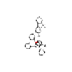 CC1(C)c2ccccc2-c2ccc(P(=O)(c3ccc4c(c3)C(C)(C)c3ccccc3-4)c3cccc4c5ccccc5c5ccccc5c34)cc21